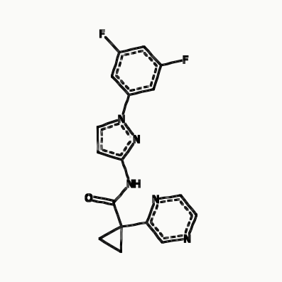 O=C(Nc1ccn(-c2cc(F)cc(F)c2)n1)C1(c2cnccn2)CC1